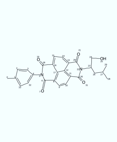 Cc1ccc(N2C(=O)c3ccc4c5c(ccc(c35)C2=O)C(=O)N(C(CO)CC(C)C)C4=O)cc1